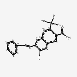 O=C(O)c1cc2cc(F)c(C=Cc3ccccc3)nc2nc1C(F)(F)F